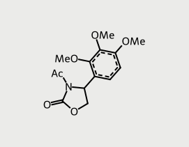 COc1ccc(C2COC(=O)N2C(C)=O)c(OC)c1OC